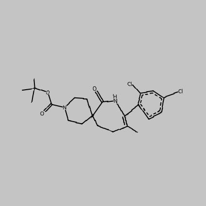 CC1=C(c2ccc(Cl)cc2Cl)NC(=O)C2(CC1)CCN(C(=O)OC(C)(C)C)CC2